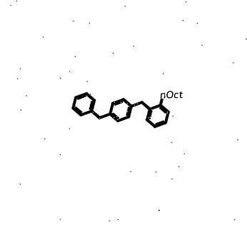 CCCCCCCCc1ccccc1Cc1ccc(Cc2ccccc2)cc1